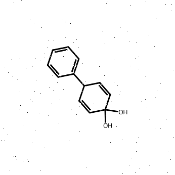 OC1(O)C=CC(c2ccccc2)C=C1